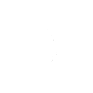 COC(=O)CO/C=C1\C(=O)SCc2ccccc21